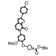 COc1cc(-n2ccc3cc(-c4ccc(Cl)cc4)sc3c2=O)ccc1OC1CN(C(=O)OC(C)(C)C)C1